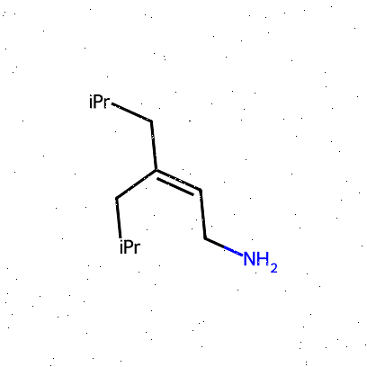 CC(C)CC(=CCN)CC(C)C